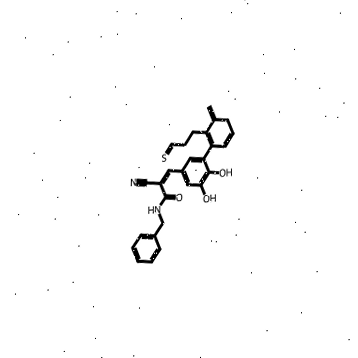 C=C1CC=CC(c2cc(C=C(C#N)C(=O)NCc3ccccc3)cc(O)c2O)=C1CCC=S